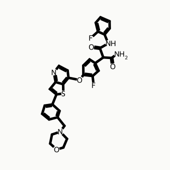 NC(=O)C(C(=O)Nc1ccccc1F)c1ccc(Oc2ccnc3cc(-c4cccc(CN5CCOCC5)c4)sc23)c(F)c1